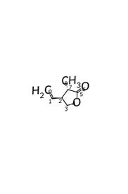 C=C[C@@H]1COC(=O)[C@H]1C